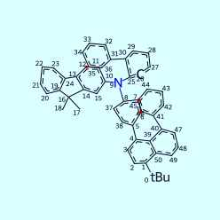 CC(C)(C)c1ccc(-c2ccc(N(c3ccc4c(c3)C(C)(C)c3ccccc3-4)c3ccccc3-c3ccccc3)cc2)c2c(-c3ccccc3)cccc12